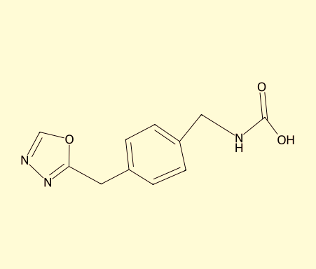 O=C(O)NCc1ccc(Cc2nnco2)cc1